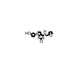 O[C@H]1C=C[C@H](n2ccc3c(NCc4ccco4)nc(Cl)nc32)C1